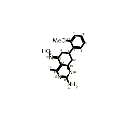 COc1ccccc1C1CC(=NO)c2c(C)nc(N)nc2C1